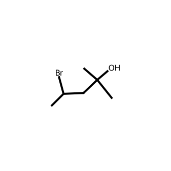 CC(Br)CC(C)(C)O